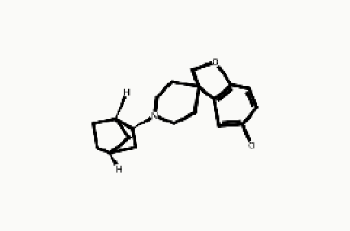 Clc1ccc2c(c1)C1(CCN([C@H]3C[C@@H]4CC[C@H]3C4)CC1)CO2